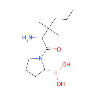 CCCC(C)(C)C(N)C(=O)N1CCC[C@H]1B(O)O